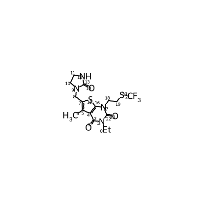 CCn1c(=O)c2c(C)c(CN3CCNC3=O)sc2n(CCSC(F)(F)F)c1=O